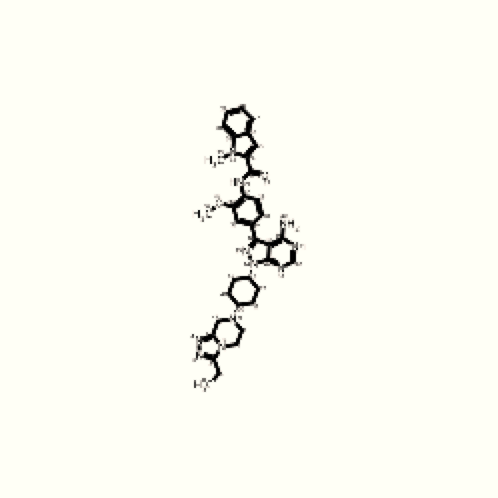 CCc1nnc2n1CCN([C@H]1CC[C@@H](n3nc(-c4ccc(NC(=O)c5cc6ccccc6n5C)c(OC)c4)c4c(N)ncnc43)CC1)C2